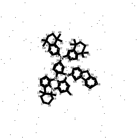 Cc1cc2c3c(c1)N1c4c(cccc4C4(C)CCCCC14C)B3c1ccc(N(c3ccc4c(c3)C(C)(C)CCC4(C)C)c3ccc4c(c3)C(C)(C)CCC4(C)C)cc1N2c1ccc2c(c1)-c1ccccc1C2